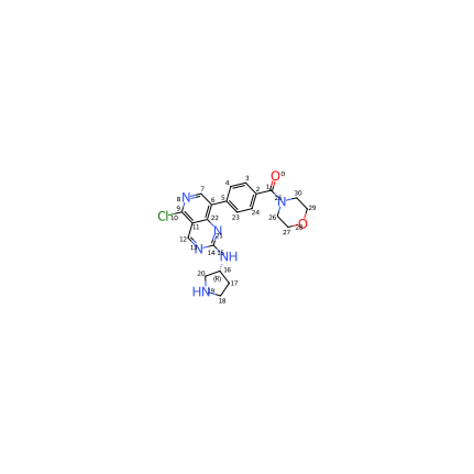 O=C(c1ccc(-c2cnc(Cl)c3cnc(N[C@@H]4CCNC4)nc23)cc1)N1CCOCC1